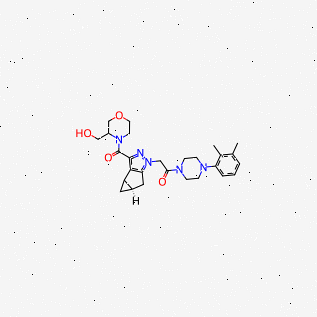 Cc1cccc(N2CCN(C(=O)Cn3nc(C(=O)N4CCOCC4CO)c4c3C[C@H]3CC43)CC2)c1C